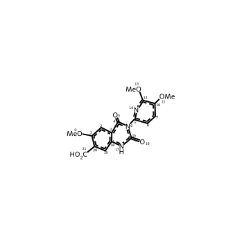 COc1cc2c(=O)n(-c3ccc(OC)c(OC)n3)c(=O)[nH]c2cc1C(=O)O